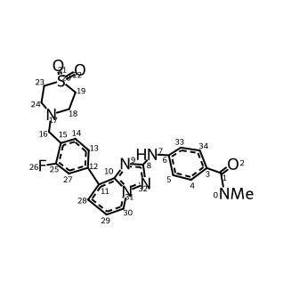 CNC(=O)c1ccc(Nc2nc3c(-c4ccc(CN5CCS(=O)(=O)CC5)c(F)c4)cccn3n2)cc1